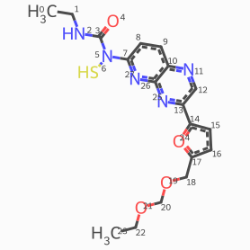 CCNC(=O)N(S)c1ccc2ncc(-c3ccc(COCOCC)o3)nc2n1